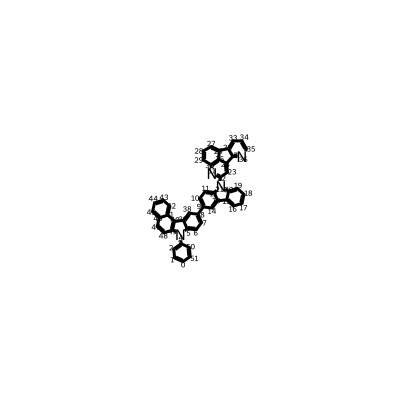 c1ccc(-n2c3ccc(-c4ccc5c(c4)c4ccccc4n5-c4cc5c6c(cccc6n4)-c4cccnc4-5)cc3c3c4ccccc4ccc32)cc1